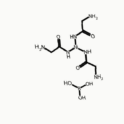 NCC(=O)[NH][Ni]([NH]C(=O)CN)[NH]C(=O)CN.OB(O)O